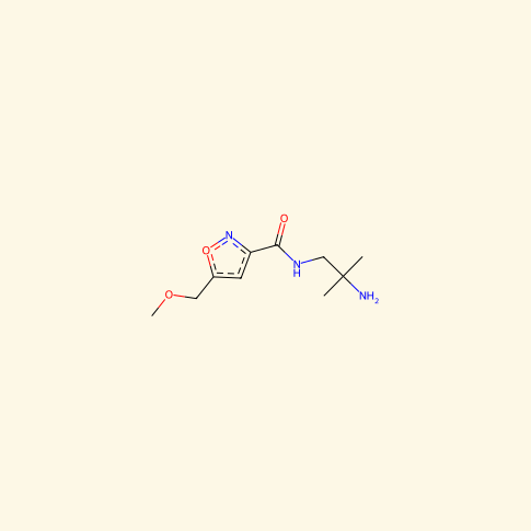 COCc1cc(C(=O)NCC(C)(C)N)no1